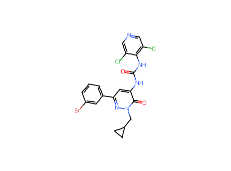 O=C(Nc1c(Cl)cncc1Cl)Nc1cc(-c2cccc(Br)c2)nn(CC2CC2)c1=O